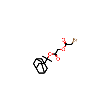 CC(C)(OC(=O)COC(=O)CBr)C12CC3CC(CC(C3)C1)C2